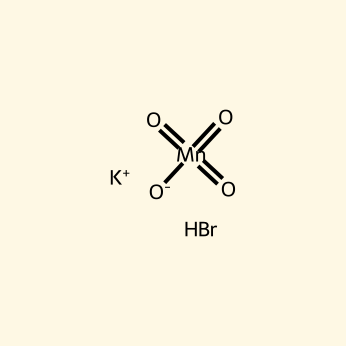 Br.[K+].[O]=[Mn](=[O])(=[O])[O-]